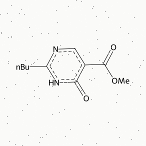 CCCCc1ncc(C(=O)OC)c(=O)[nH]1